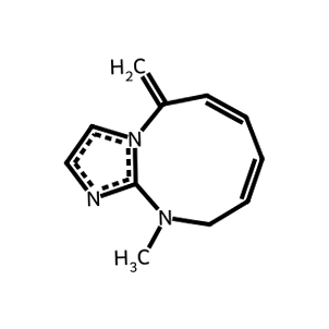 C=C1/C=C\C=C/CN(C)c2nccn21